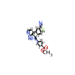 COC(=O)c1ccc(C#Cc2c(-c3ccc(F)c(C#N)c3)ccnc2N)cc1